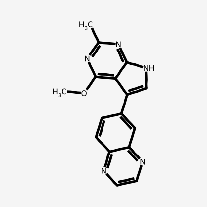 COc1nc(C)nc2[nH]cc(-c3ccc4nccnc4c3)c12